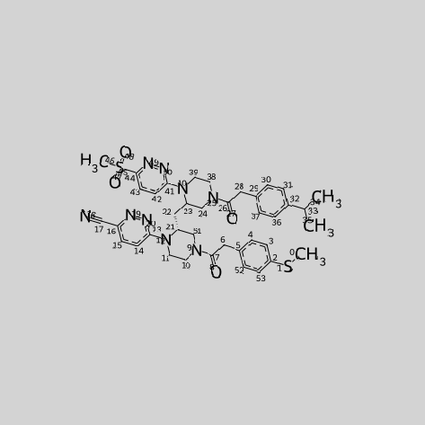 CSc1ccc(CC(=O)N2CCN(c3ccc(C#N)nn3)[C@H](CC3CN(C(=O)Cc4ccc(C(C)C)cc4)CCN3c3ccc(S(C)(=O)=O)nn3)C2)cc1